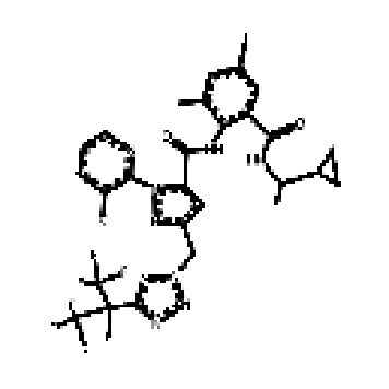 Cc1cc(I)cc(C(=O)NC(C)C2CC2)c1NC(=O)c1cc(Cn2nnc(C(F)(C(F)(F)F)C(F)(F)F)n2)nn1-c1ncccc1Cl